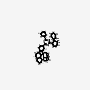 c1ccc(-c2nc(-c3ccc4c(c3)C3(c5c-4ccc4ccccc54)C4CC5CC(C4)CC3C5)nc(-c3cccc4oc5ccccc5c34)n2)cc1